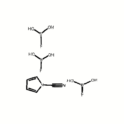 N#Cn1cccc1.OB(O)F.OB(O)F.OB(O)F